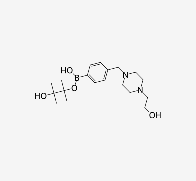 CC(C)(O)C(C)(C)OB(O)c1ccc(CN2CCN(CCO)CC2)cc1